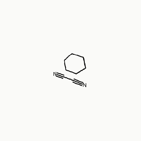 C1CCCCC1.N#CC#N